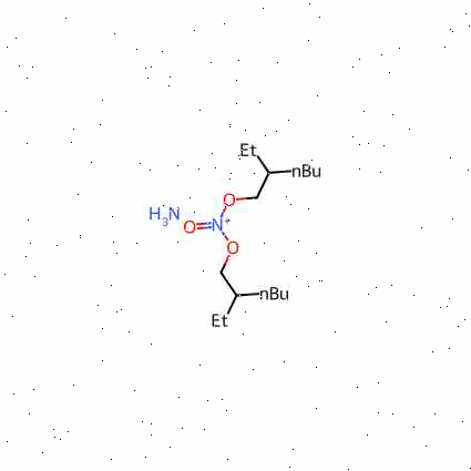 CCCCC(CC)CO[N+](=O)OCC(CC)CCCC.N